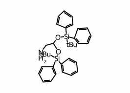 CC(C)(C)[Si](OC(CN)O[Si](c1ccccc1)(c1ccccc1)C(C)(C)C)(c1ccccc1)c1ccccc1